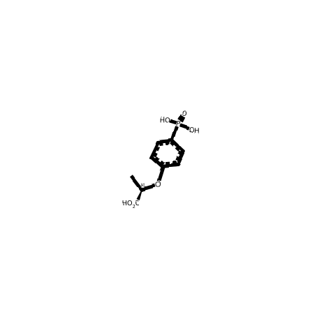 C[C@@H](Oc1ccc(P(=O)(O)O)cc1)C(=O)O